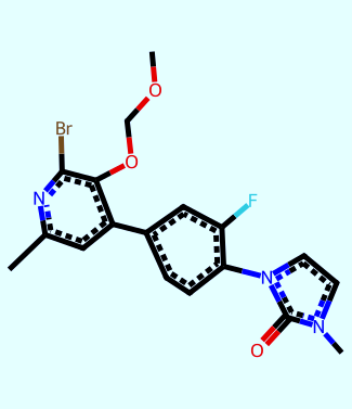 COCOc1c(-c2ccc(-n3ccn(C)c3=O)c(F)c2)cc(C)nc1Br